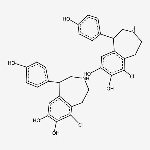 Oc1ccc(C2CNCCc3c2cc(O)c(O)c3Cl)cc1.Oc1ccc(C2CNCCc3c2cc(O)c(O)c3Cl)cc1